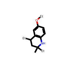 CCOc1ccc2c(c1)C(CC)CC(C)(CC)N2